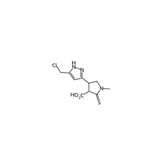 CN1CC(c2cc(CCl)[nH]n2)C(C(=O)O)C1=S